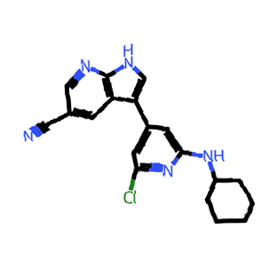 N#Cc1cnc2[nH]cc(-c3cc(Cl)nc(NC4CCCCC4)c3)c2c1